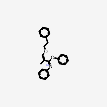 CC(=COCCc1ccccc1)/C(=N\c1ccccc1)Oc1ccccc1